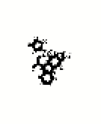 CC(C)C1c2ccccc2-c2ccc[c]([Zr+2][C]3=CC=CC3)c21.[Cl-].[Cl-]